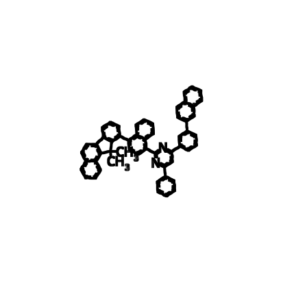 CC1(C)c2c(cccc2-c2ccc(-c3nc(-c4ccccc4)cc(-c4cccc(-c5ccc6ccccc6c5)c4)n3)c3ccccc23)-c2ccc3ccccc3c21